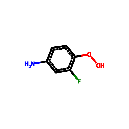 Nc1ccc(OO)c(F)c1